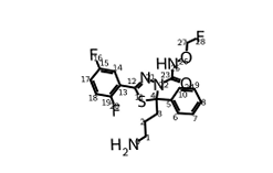 NCCCC1(c2ccccc2)SC(c2cc(F)ccc2F)=NN1C(=O)NOCF